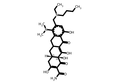 CCCCN(CC)Cc1cc(O)c2c(c1N(C)C)CC1C[C@H]3CC(O)=C(C(N)=O)C(=O)[C@@]3(O)C(O)=C1C2=O